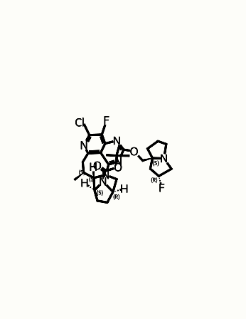 C[C@H]1Cc2nc(Cl)c(F)c3nc(OC[C@@]45CCCN4C[C@H](F)C5)nc(c23)N2C[C@H]3CC[C@@H]([C@H]12)N3C(=O)OC(C)(C)C